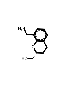 NCc1cccc2c1O[C@@H](CO)CC2